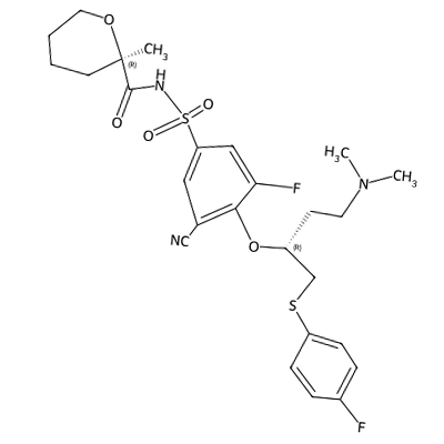 CN(C)CC[C@H](CSc1ccc(F)cc1)Oc1c(F)cc(S(=O)(=O)NC(=O)[C@@]2(C)CCCCO2)cc1C#N